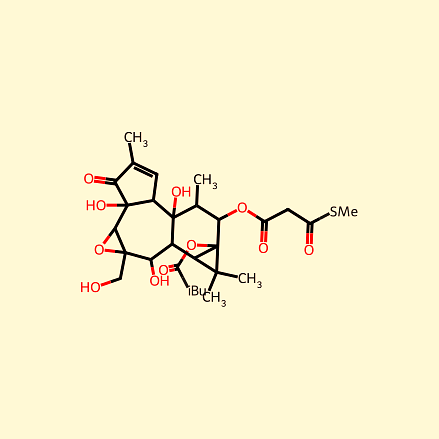 CCC(C)C(=O)OC12C(OC(=O)CC(=O)SC)C(C)C3(O)C(C(O)C4(CO)OC4C4(O)C(=O)C(C)=CC43)C1C2(C)C